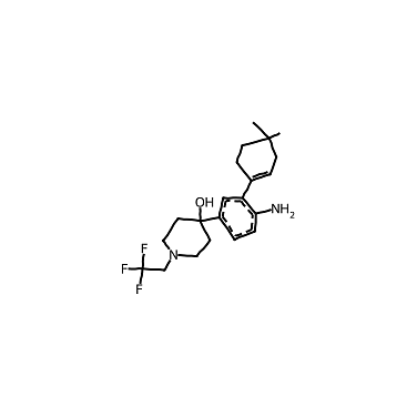 CC1(C)CC=C(c2cc(C3(O)CCN(CC(F)(F)F)CC3)ccc2N)CC1